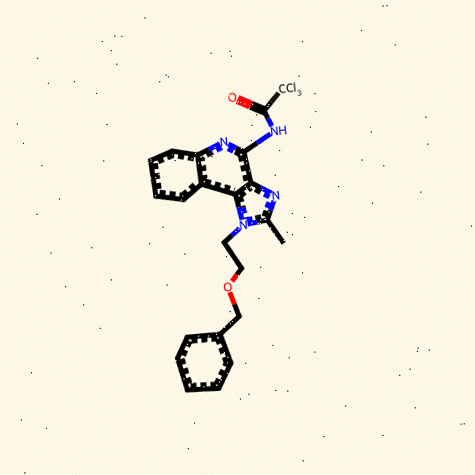 Cc1nc2c(NC(=O)C(Cl)(Cl)Cl)nc3ccccc3c2n1CCOCc1ccccc1